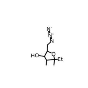 CCC1(C)OC(CN=[N+]=[N-])C(O)C1C